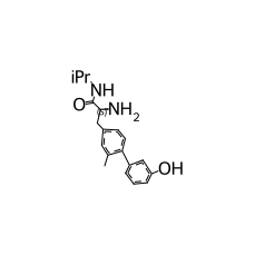 Cc1cc(C[C@H](N)C(=O)NC(C)C)ccc1-c1cccc(O)c1